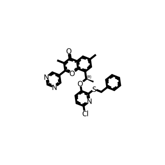 Cc1cc([C@@H](C)Oc2ccc(Cl)nc2SCc2ccccc2)c2oc(-c3cncnc3)c(C)c(=O)c2c1